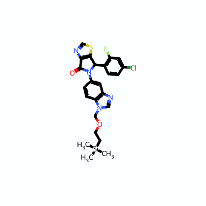 C[Si](C)(C)CCOCn1cnc2cc(N3C(=O)c4ncsc4C3c3ccc(Cl)cc3F)ccc21